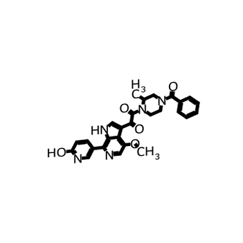 COc1cnc(-c2ccc(O)nc2)c2[nH]cc(C(=O)C(=O)N3CCN(C(=O)c4ccccc4)CC3C)c12